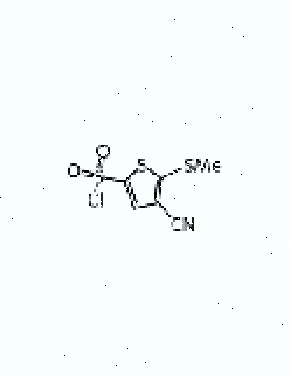 CSc1sc(S(=O)(=O)Cl)cc1C#N